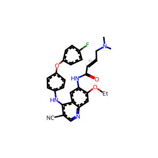 CCOc1cc2ncc(C#N)c(Nc3ccc(Oc4ccc(F)cc4)cc3)c2cc1NC(=O)/C=C/CN(C)C